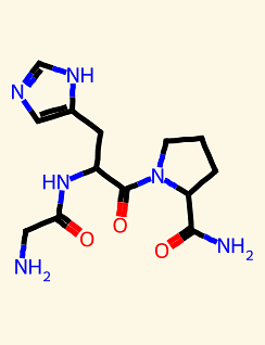 NCC(=O)NC(Cc1cnc[nH]1)C(=O)N1CCCC1C(N)=O